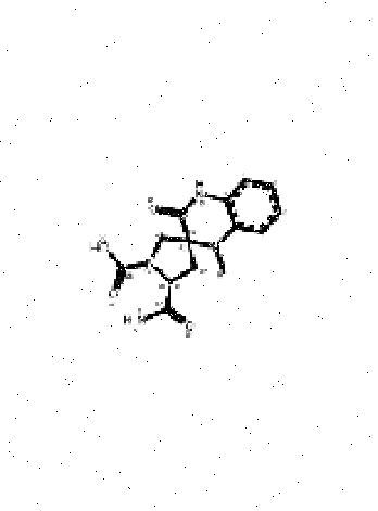 CN1c2ccccc2NC(=O)[C@]12C[C@@H](C(N)=O)N(C(=O)O)C2